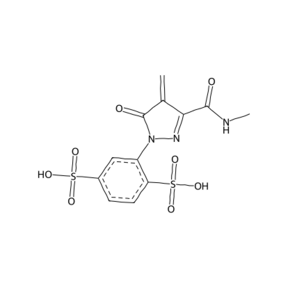 C=C1C(=O)N(c2cc(S(=O)(=O)O)ccc2S(=O)(=O)O)N=C1C(=O)NC